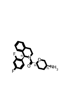 N[C@H]1CC[C@H](C(=O)N2CCc3ccccc3[C@@H]2c2ccc(F)cc2F)OC1